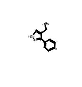 CC(C)(C)Cc1c[nH]nc1-c1ccccc1